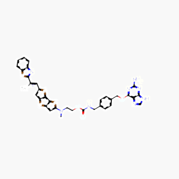 CN(CCOC(=O)NCc1ccc(COc2nc(N)nc3[nH]cnc23)cc1)c1cc2sc3cc(/C=C(\C#N)c4nc5ccccc5s4)sc3c2s1